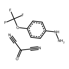 N#CC(=O)C#N.NNc1ccc(OC(F)(F)F)cc1